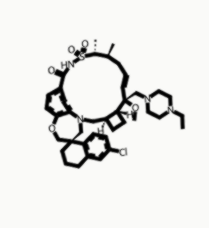 CCN1CCN(C[C@]2(OC)/C=C/C[C@H](C)[C@@H](C)S(=O)(=O)NC(=O)c3ccc4c(c3)N(C[C@@H]3CC[C@H]32)C[C@@]2(CCCc3cc(Cl)ccc32)CO4)CC1